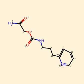 NC(=O)COC(=O)NCCCc1ccccn1